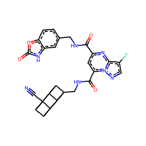 N#CC12C3C4C1C1C2C3C41CNC(=O)c1cc(C(=O)NCc2ccc3oc(=O)[nH]c3c2)nc2c(F)cnn12